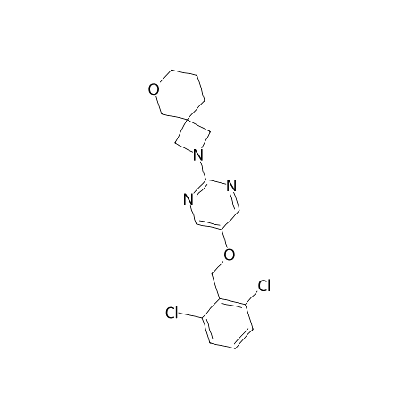 Clc1cccc(Cl)c1COc1cnc(N2CC3(CCCOC3)C2)nc1